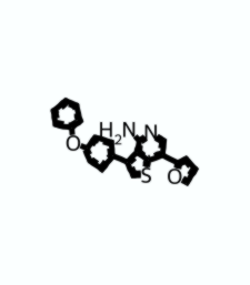 Nc1ncc(-c2ccco2)c2scc(-c3ccc(Oc4ccccc4)cc3)c12